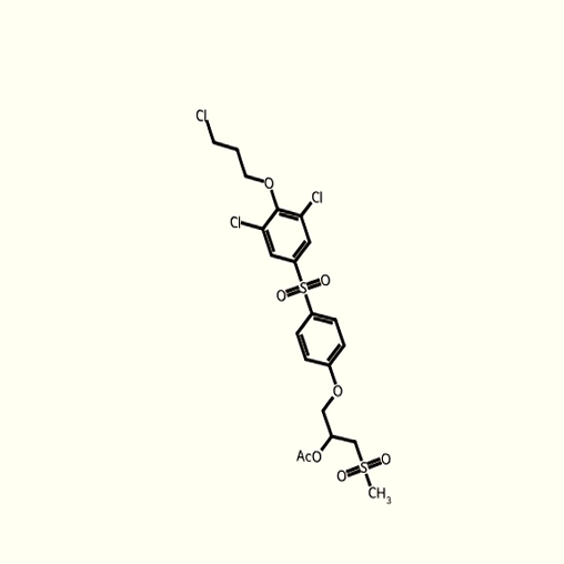 CC(=O)OC(COc1ccc(S(=O)(=O)c2cc(Cl)c(OCCCCl)c(Cl)c2)cc1)CS(C)(=O)=O